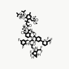 COP(=O)(Cc1cc(C)cc(OP(=O)(OC(C)C)OC(C)C)c1C(C)(C)CC(=O)N(c1nn(C)c2c(-n3c([C@H](Cc4cc(F)cc(F)c4)NC(=O)Cn4nc(C(F)F)c5c4C(F)(F)[C@@H]4C[C@H]54)nc4cc(-c5cccc(C(F)(F)F)n5)ccc4c3=O)ccc(Cl)c12)S(C)(=O)=O)OC